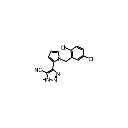 N#Cc1[nH]nnc1-c1cccn1Cc1cc(Cl)ccc1Cl